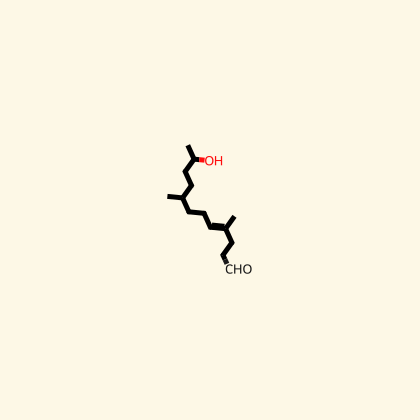 CC(=CCCC(C)CCC(C)O)CCC=O